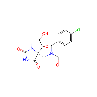 O=CN(Cc1ccc(Cl)cc1)C[C@@]1([C@H](O)CO)NC(=O)NC1=O